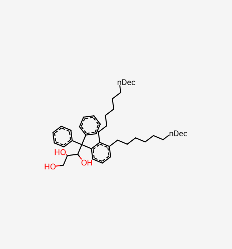 CCCCCCCCCCCCCCCCc1cccc(C(c2ccccc2)(c2ccccc2)C(O)C(O)CO)c1CCCCCCCCCCCCCCCC